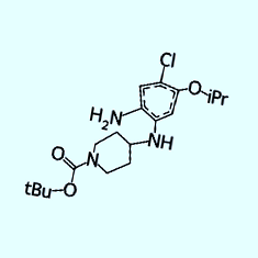 CC(C)Oc1cc(NC2CCN(C(=O)OC(C)(C)C)CC2)c(N)cc1Cl